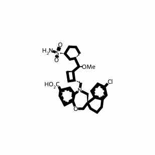 CO[C@@H]([C@H]1CCC[C@@H](S(N)(=O)=O)C1)[C@@H]1CC[C@H]1CN1C[C@@]2(CCCc3cc(Cl)ccc32)COc2ccc(C(=O)O)cc21